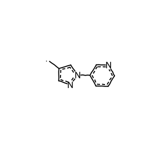 [CH2]c1cnn(-c2cccnc2)c1